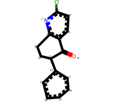 O=C1c2ccc(Cl)nc2CCC1c1ccccc1